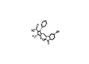 Cc1[nH]c(/C=C2\C(=O)Nc3ccc(Br)cc32)c(-c2ccccc2)c1C(=O)O